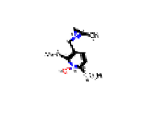 COc1c(CN2CC2C#N)ccc(C(=O)O)[n+]1[O-]